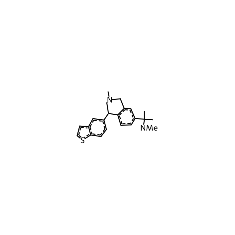 CNC(C)(C)c1ccc2c(c1)CN(C)CC2c1ccc2sccc2c1